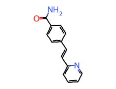 NC(=O)c1ccc(C=Cc2ccccn2)cc1